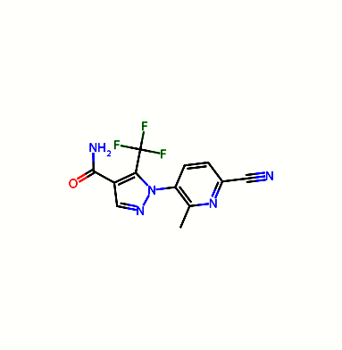 Cc1nc(C#N)ccc1-n1ncc(C(N)=O)c1C(F)(F)F